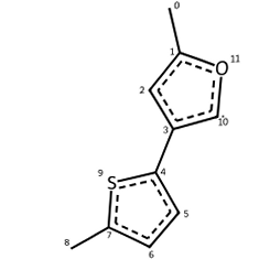 Cc1cc(-c2ccc(C)s2)[c]o1